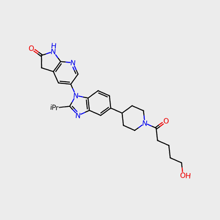 CC(C)c1nc2cc(C3CCN(C(=O)CCCCO)CC3)ccc2n1-c1cnc2c(c1)CC(=O)N2